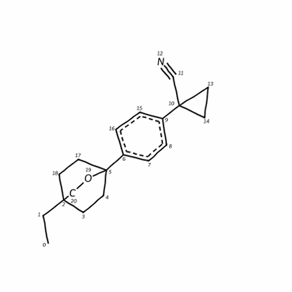 CCC12CCC(c3ccc(C4(C#N)CC4)cc3)(CC1)OC2